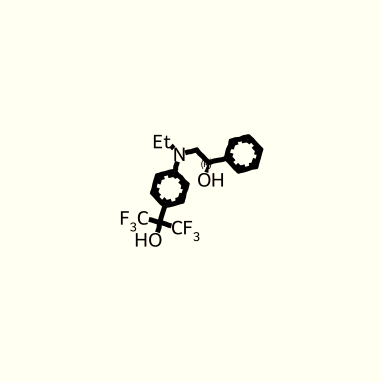 CCN(C[C@H](O)c1ccccc1)c1ccc(C(O)(C(F)(F)F)C(F)(F)F)cc1